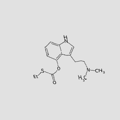 CCSC(=O)Oc1cccc2[nH]cc(CCN(C)C)c12